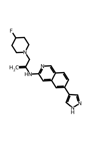 C=C(CN1CCC(F)CC1)Nc1cc2cc(-c3cn[nH]c3)ccc2cn1